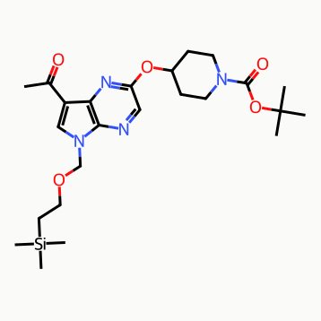 CC(=O)c1cn(COCC[Si](C)(C)C)c2ncc(OC3CCN(C(=O)OC(C)(C)C)CC3)nc12